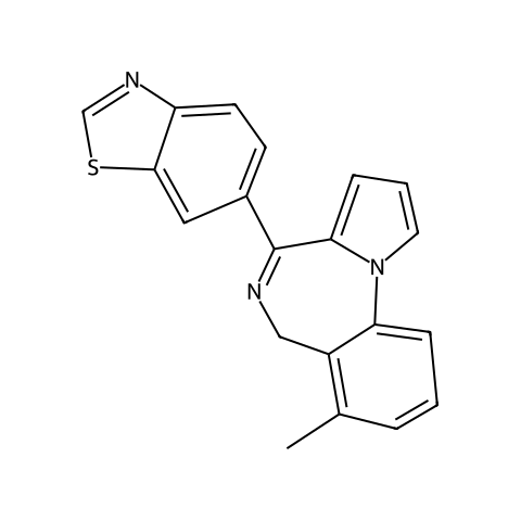 Cc1cccc2c1CN=C(c1ccc3ncsc3c1)c1cccn1-2